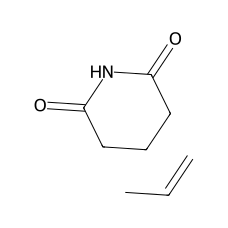 C=CC.O=C1CCCC(=O)N1